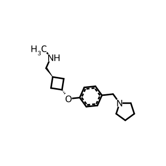 CNC[C@H]1C[C@H](Oc2ccc(CN3CCCC3)cc2)C1